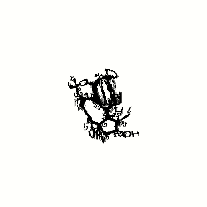 C[C@@H]1[C@H]2[C@@H]3OC(=O)[C@@]4(C)OC(C)(C)O[C@@H](C[C@](C)(O)[C@H]2C[C@@H]1O)[C@@]34O